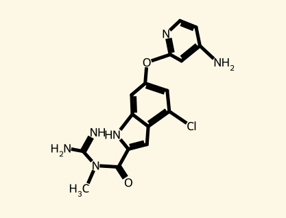 CN(C(=N)N)C(=O)c1cc2c(Cl)cc(Oc3cc(N)ccn3)cc2[nH]1